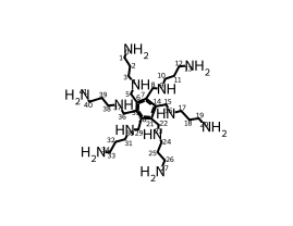 NCCCNCc1c(CNCCCN)c(CNCCCN)c(CNCCCN)c(CNCCCN)c1CNCCCN